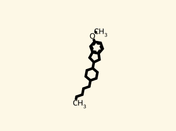 CCCCCC1CCC(C2Cc3ccc(OC)cc3C2)CC1